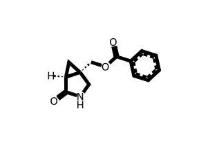 O=C(OC[C@]12CNC(=O)[C@H]1C2)c1ccccc1